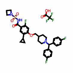 O=C(NS(=O)(=O)N1CCC1)c1cc(C2CC2)c(OCC2CCN(C(c3ccc(F)cc3)c3ccc(F)cc3)CC2)cc1F.O=C(O)C(F)(F)F